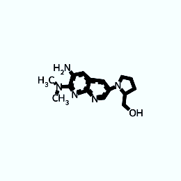 CN(C)c1nc2ncc(N3CCCC3CO)cc2cc1N